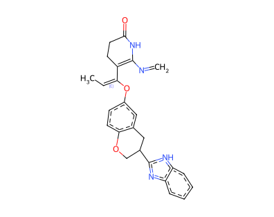 C=NC1=C(/C(=C\C)Oc2ccc3c(c2)CC(c2nc4ccccc4[nH]2)CO3)CCC(=O)N1